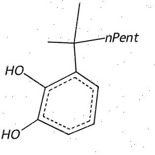 CCCCCC(C)(C)c1cccc(O)c1O